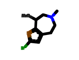 COC1CN(C)CCc2cc(Br)sc21